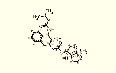 CC(C)CC(=O)NC[C@@H](O)[C@H](Cc1ccccc1)NC(=O)O[C@H]1CO[C@@]2(C)OCC[C@@H]12